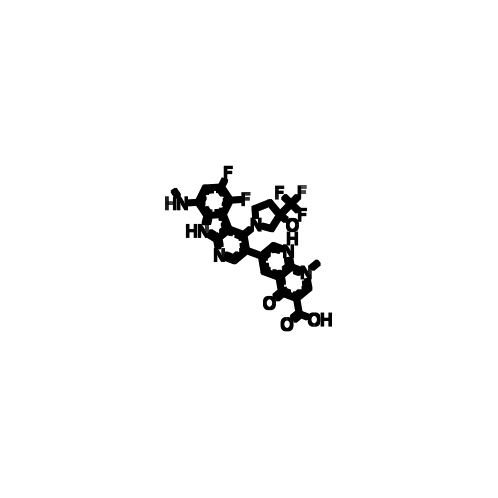 CNc1cc(F)c(F)c2c1[nH]c1ncc(-c3cnc4c(c3)c(=O)c(C(=O)O)cn4C)c(N3CCC(O)(C(F)(F)F)C3)c12